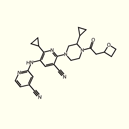 N#Cc1ccnc(Nc2cc(C#N)c(N3CCN(C(=O)CC4CCO4)C(C4CC4)C3)nc2C2CC2)c1